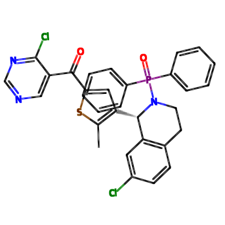 Cc1sc(C(=O)c2cncnc2Cl)cc1[C@H]1c2cc(Cl)ccc2CCN1P(=O)(c1ccccc1)c1ccccc1